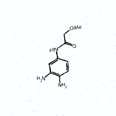 COCC(=O)Nc1ccc(N)c(N)c1